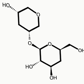 OC[C@H]1C[C@@H](O)[C@H](O)[C@@H](O[C@H]2COC[C@@H](O)C2)O1